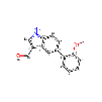 COc1ccccc1-c1ccc2[nH]cc(C=O)c2c1